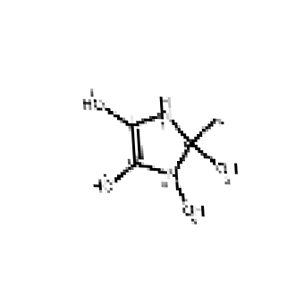 CC1(O)NC(O)=C(O)N1O